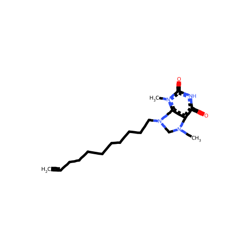 C=CCCCCCCCCCN1CN(C)c2c1n(C)c(=O)[nH]c2=O